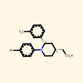 CC(C)c1ccc(N2CC[C@@H](CC(=O)O)C[C@H]2c2cccc(C(F)(F)F)c2)cc1